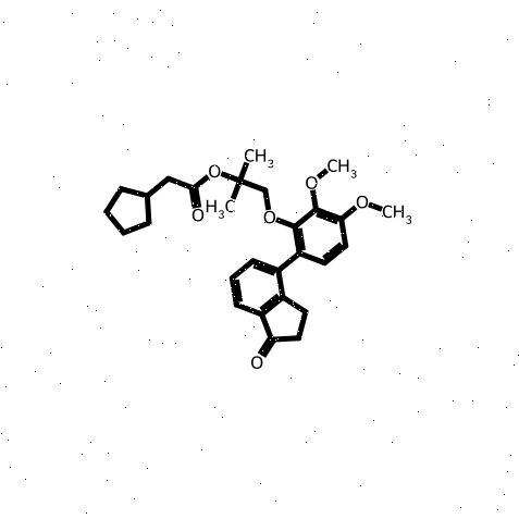 COc1ccc(-c2cccc3c2CCC3=O)c(OCC(C)(C)OC(=O)CC2CCCC2)c1OC